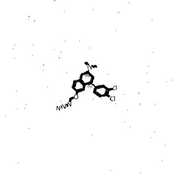 CN(C)[C@H]1Cc2ccc(OCN=[N+]=[N-])cc2[C@H](c2ccc(Cl)c(Cl)c2)C1